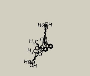 CCCCC(=O)N(Cc1ccc(-c2ccccc2-c2nnn(C(=O)OCCCCCON(O)O)n2)cc1)[C@H](C(=O)OCCCCON(O)O)C(C)C